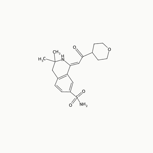 CC1(C)Cc2ccc(S(N)(=O)=O)cc2C(=CC(=O)C2CCOCC2)N1